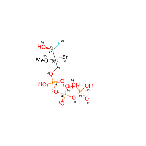 CC[C@](COP(=O)(O)OP(=O)(O)OP(=O)(O)O)(OC)[C@@H](O)F